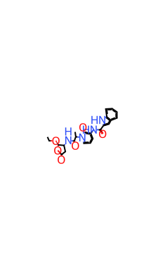 CCO[C@@H]1OC(=O)C[C@@H]1NC(=O)C(C)n1cccc(NC(=O)c2cc3ccccc3[nH]2)c1=O